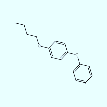 CCCCOc1ccc(Oc2cc[c]cc2)cc1